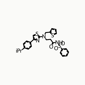 CC(C)c1ccc(-c2csc(N(CCC(=O)NS(=O)(=O)c3ccccc3)Cc3cccs3)n2)cc1